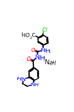 O=C(NC(=O)c1ccc2c(c1)NCCN2)Nc1ccc(Cl)c(C(=O)O)c1.[NaH]